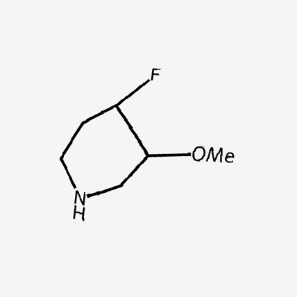 COC1CNCCC1F